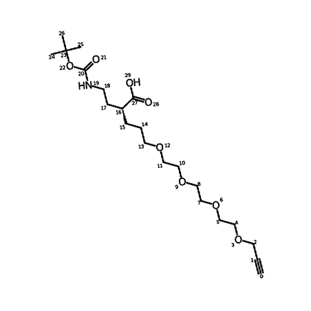 C#CCOCCOCCOCCOCCC[C@@H](CCNC(=O)OC(C)(C)C)C(=O)O